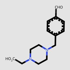 O=Cc1ccc(CN2CCN(CC(=O)O)CC2)cc1